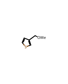 [CH2]OCc1ccsc1